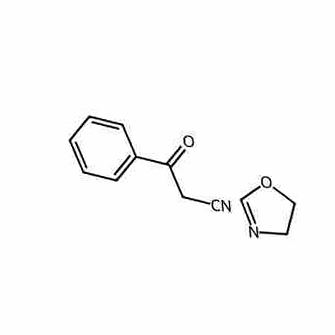 C1=NCCO1.N#CCC(=O)c1ccccc1